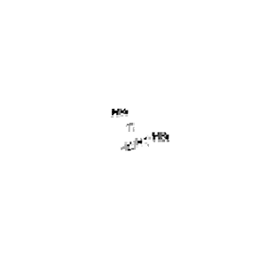 Br.Br.Cl.Cl.[Ti]